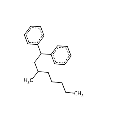 CCCCCC(C)[CH]C(c1ccccc1)c1ccccc1